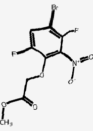 COC(=O)COc1c(F)cc(Br)c(F)c1[N+](=O)[O-]